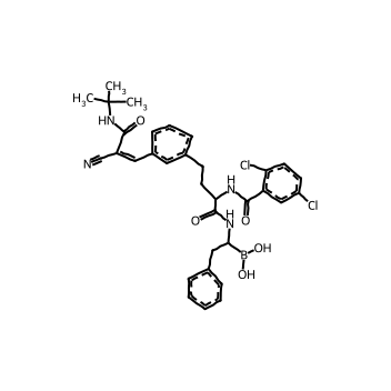 CC(C)(C)NC(=O)C(C#N)=Cc1cccc(CCC(NC(=O)c2cc(Cl)ccc2Cl)C(=O)NC(Cc2ccccc2)B(O)O)c1